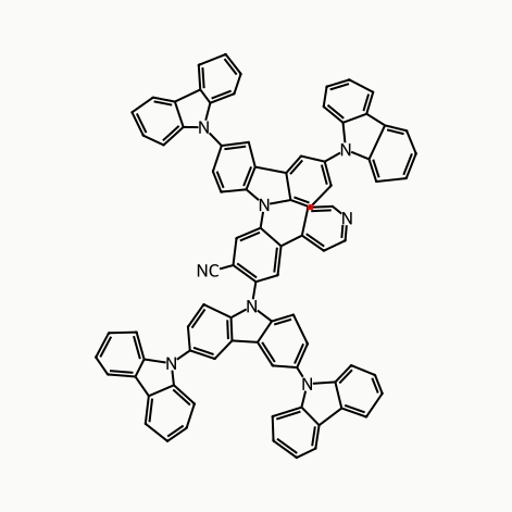 N#Cc1cc(-n2c3ccc(-n4c5ccccc5c5ccccc54)cc3c3cc(-n4c5ccccc5c5ccccc54)ccc32)c(-c2ccncc2)cc1-n1c2ccc(-n3c4ccccc4c4ccccc43)cc2c2cc(-n3c4ccccc4c4ccccc43)ccc21